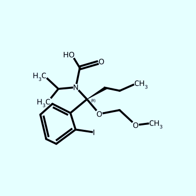 CCC[C@@](OCOC)(c1ccccc1I)N(C(=O)O)C(C)C